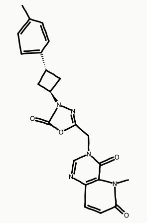 Cc1ccc([C@H]2C[C@H](n3nc(Cn4cnc5ccc(=O)n(C)c5c4=O)oc3=O)C2)cc1